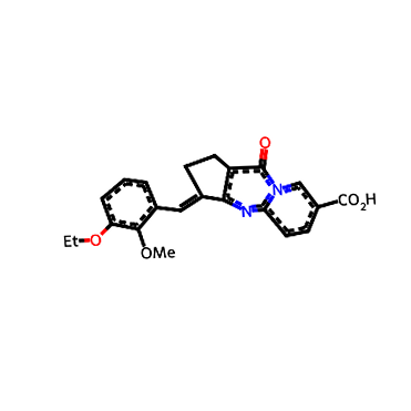 CCOc1cccc(C=C2CCc3c2nc2ccc(C(=O)O)cn2c3=O)c1OC